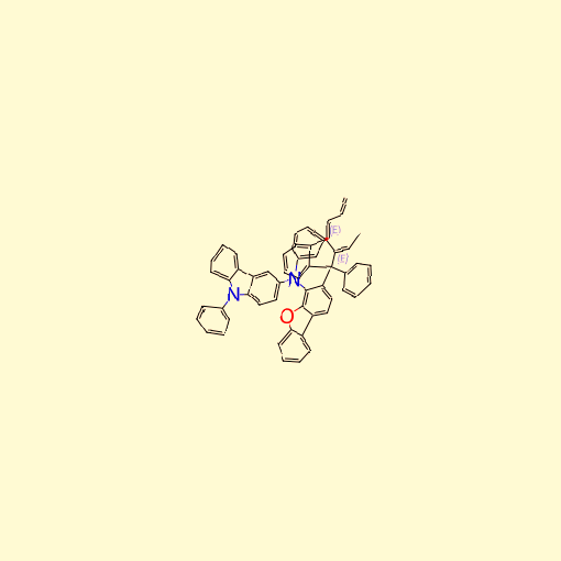 C=C/C=C1\C(=C/C)C(c2ccccc2)(c2ccc3c(oc4ccccc43)c2N(c2ccccc2)c2ccc3c(c2)c2ccccc2n3-c2ccccc2)c2ccccc21